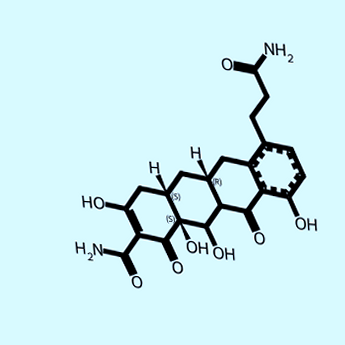 NC(=O)CCc1ccc(O)c2c1C[C@H]1C[C@H]3CC(O)=C(C(N)=O)C(=O)[C@@]3(O)C(O)C1C2=O